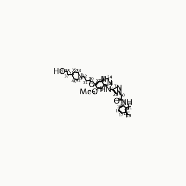 COc1cc2c(Nc3cnn(CC(=O)Nc4cccc(F)c4F)c3)ncnc2cc1OCCCN1CCC(CCO)CC1